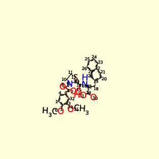 COc1ccc(S(=O)(=O)N2CCS[C@H]2C(=O)N[C@@H](Cc2ccc3ccccc3c2)C(=O)O)cc1OC